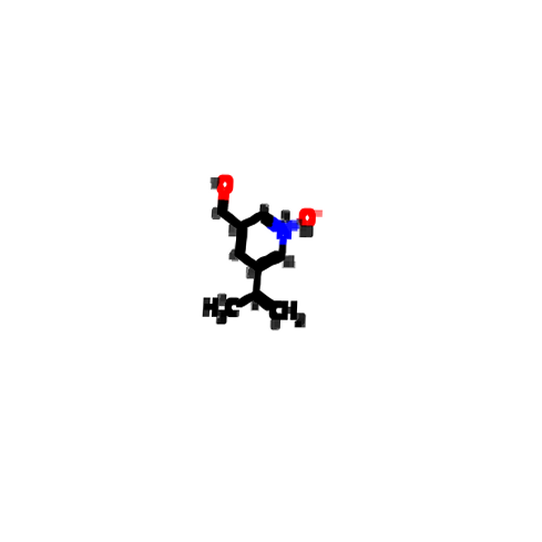 C=C(C)c1cc(C=O)c[n+]([O-])c1